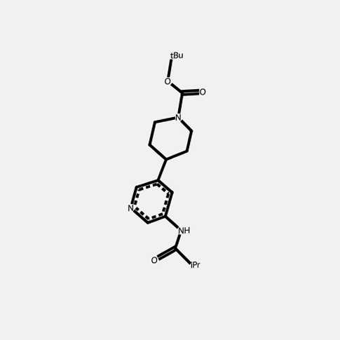 CC(C)C(=O)Nc1cncc(C2CCN(C(=O)OC(C)(C)C)CC2)c1